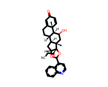 C[C@]12C=CC(=O)C=C1CC[C@@H]1[C@@H]2[C@@H](O)C[C@@]2(C)[C@H]1C[C@H]1OC(c3ccnc4ccccc34)O[C@]12C(=O)CC#N